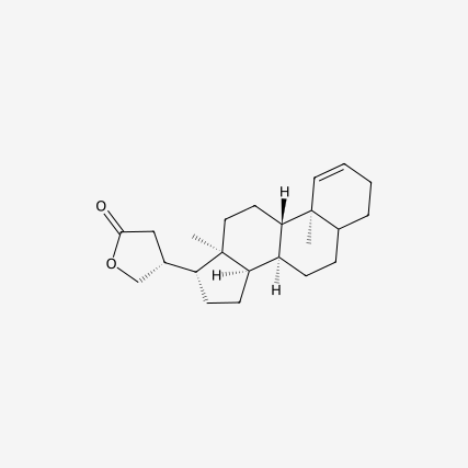 C[C@]12CC[C@H]3[C@@H](CCC4CCC=C[C@@]43C)[C@H]1CC[C@@H]2[C@@H]1COC(=O)C1